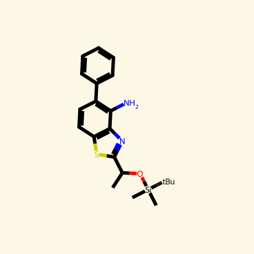 CC(O[Si](C)(C)C(C)(C)C)c1nc2c(N)c(-c3ccccc3)ccc2s1